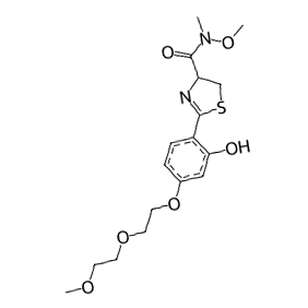 COCCOCCOc1ccc(C2=NC(C(=O)N(C)OC)CS2)c(O)c1